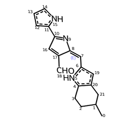 CC1CCc2[nH]c(/C=C3/N=C(c4ccc[nH]4)C=C3C=O)cc2C1